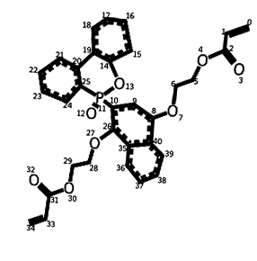 C=CC(=O)OCCOc1cc(P2(=O)Oc3ccccc3-c3ccccc32)c(OCCOC(=O)C=C)c2ccccc12